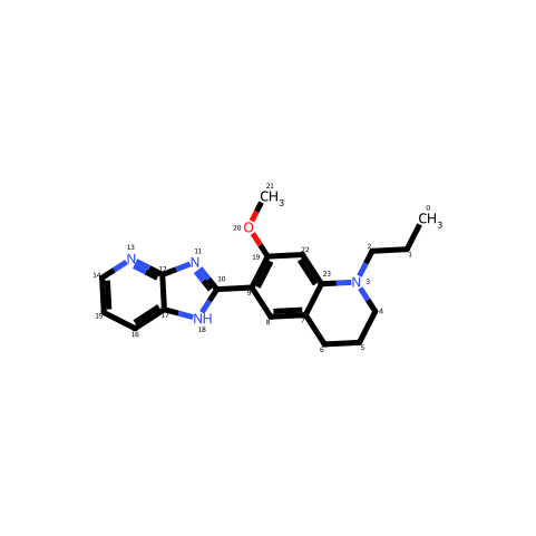 CCCN1CCCc2cc(-c3nc4ncccc4[nH]3)c(OC)cc21